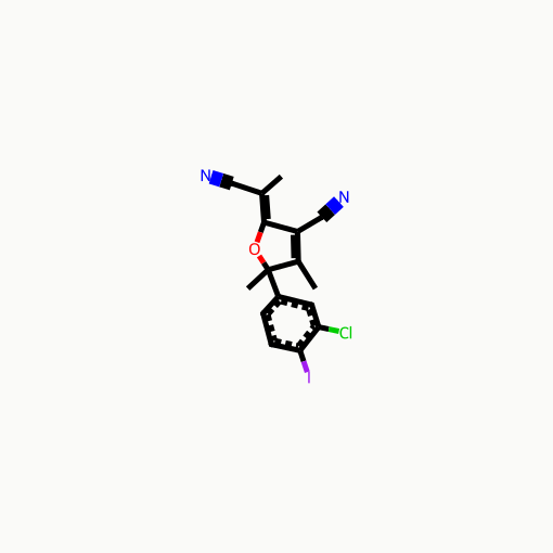 CC1=C(C#N)/C(=C(\C)C#N)OC1(C)c1ccc(I)c(Cl)c1